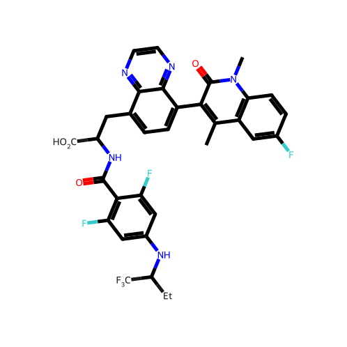 CCC(Nc1cc(F)c(C(=O)NC(Cc2ccc(-c3c(C)c4cc(F)ccc4n(C)c3=O)c3nccnc23)C(=O)O)c(F)c1)C(F)(F)F